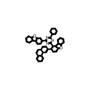 C1=CC2C=Cc3ccccc3C2C=C1c1ccc2oc3ccccc3c2c1-c1nc(-c2ccccc2)nc(-c2ccc3c(c2)oc2ccccc23)n1